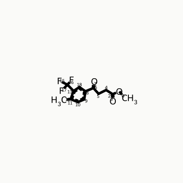 COC(=O)CCC(=O)c1ccc(C)c(C(F)(F)F)c1